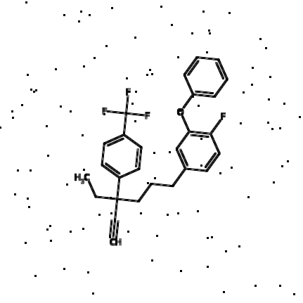 C#CC(CC)(CCCc1ccc(F)c(Oc2ccccc2)c1)c1ccc(C(F)(F)F)cc1